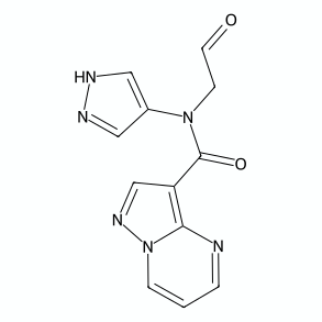 O=CCN(C(=O)c1cnn2cccnc12)c1cn[nH]c1